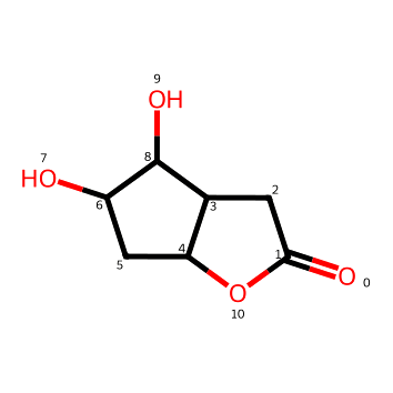 O=C1CC2C(CC(O)C2O)O1